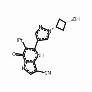 CC(C)c1c(-c2cnn([C@H]3C[C@@H](O)C3)c2)[nH]c2c(C#N)cnn2c1=O